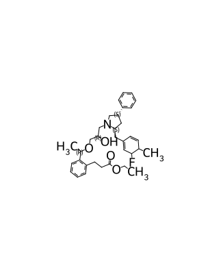 CCOC(=O)CCc1ccccc1[C@@H](C)OC[C@H](O)CN1C[C@H](c2ccccc2)C[C@H]1CC1=CC(F)C(C)C=C1